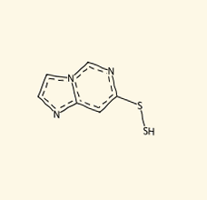 SSc1cc2nccn2cn1